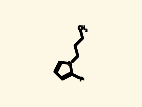 CCCCn1cccc1[P]